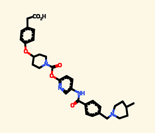 CC1CCN(Cc2ccc(C(=O)Nc3ccc(OC(=O)N4CCC(Oc5ccc(CC(=O)O)cc5)CC4)nc3)cc2)CC1